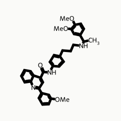 COc1cccc(-c2cc(C(=O)Nc3ccc(CCCNC(C)c4ccc(OC)c(OC)c4)cc3)c3ccccc3n2)c1